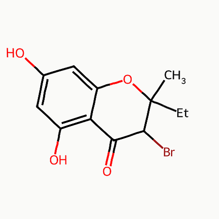 CCC1(C)Oc2cc(O)cc(O)c2C(=O)C1Br